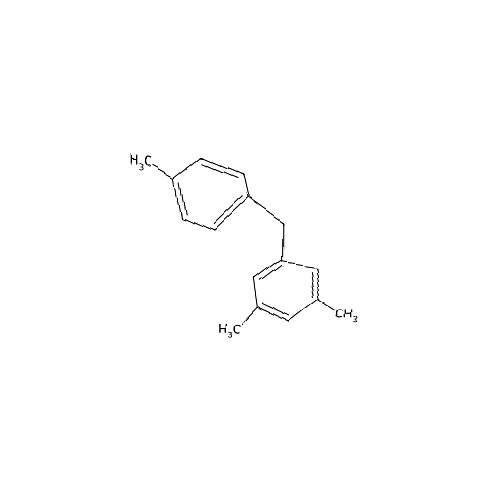 Cc1ccc(Cc2cc(C)cc(C)c2)cc1